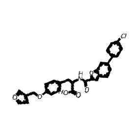 O=C(NC(Cc1ccc(OCc2ccoc2)cc1)C(=O)O)c1cc2ccc(-c3ccc(Cl)cc3)cc2o1